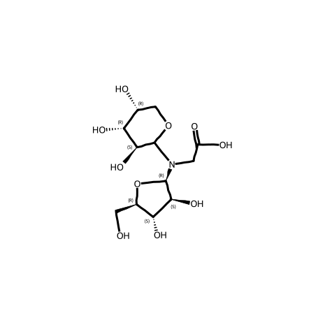 O=C(O)CN(C1OC[C@@H](O)[C@@H](O)[C@@H]1O)[C@@H]1O[C@H](CO)[C@@H](O)[C@@H]1O